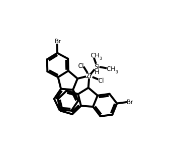 C[SiH](C)[Zr]([Cl])([Cl])([CH]1c2ccccc2-c2ccc(Br)cc21)[CH]1c2ccccc2-c2ccc(Br)cc21